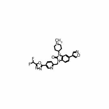 CN1CCC(n2c(=O)n(Cc3ccc(-c4nnc(C(F)F)o4)cn3)c3ccc(-c4cnoc4)cc32)CC1